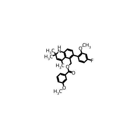 COc1cccc(C(=O)OCc2c(-c3ccc(F)cc3OC)ccc3c2C(C)=CC(C)(C)N3)c1